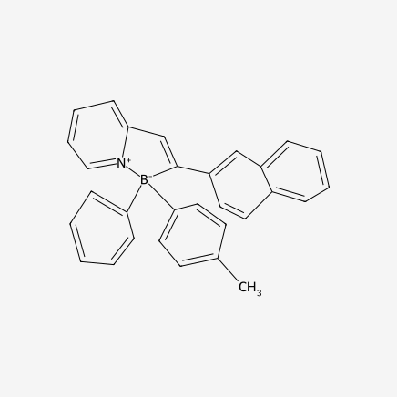 Cc1ccc([B-]2(c3ccccc3)C(c3ccc4ccccc4c3)=Cc3cccc[n+]32)cc1